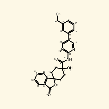 O=C1OC2(CCC(O)(C(=O)Nc3ncc(-c4cccc(CF)c4)cn3)CC2)c2cnccc21